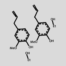 C=CCc1ccc(O)c(OC)c1.C=CCc1ccc(O)c(OC)c1.CCO.CCO